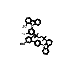 CC(C)(C)c1cc(-n2c3ccccc3c3cccc(C(C)(C)C)c32)cc(C(C)(C)CCC(C)(C)c2cccc3c4ccccc4n(-c4ccc(-c5cc(C(C)(C)C)ccc5C(C)(C)C)cc4)c23)c1